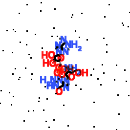 C=Nc1c(/C(N)=N\C)ncn1[C@@H]1O[C@H](COP(=O)(O)O[C@@H]2[C@H](N)[C@@H](CO)O[C@H]2n2cnc3c(=O)[nH]c(N)nc32)[C@@H](O)[C@H]1O